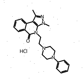 Cc1nn(C)c2c1c1ccccc1c(=O)n2CCN1CCN(c2ccccc2)CC1.Cl